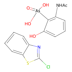 CC(=O)Nc1cccc(O)c1[As](=O)(O)O.Clc1nc2ccccc2s1